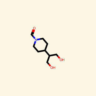 O=CN1CCC(C(CO)CO)CC1